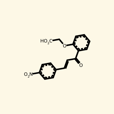 O=C(O)COc1ccccc1C(=O)/C=C/c1ccc([N+](=O)[O-])cc1